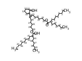 CCCCCCCCC(CCCCCC)C(=O)OCCCCCCN(CCCCCCOC(O)C(CCCCCC)CCCCCCCC)C1CCCCC1O